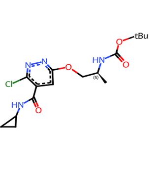 C[C@@H](COc1cc(C(=O)NC2CC2)c(Cl)nn1)NC(=O)OC(C)(C)C